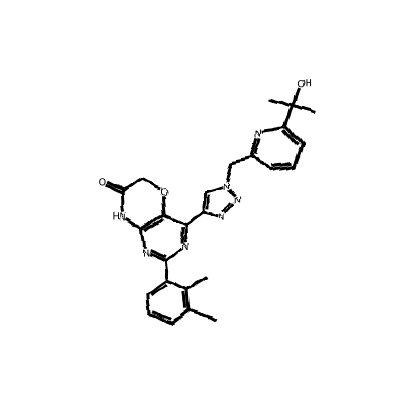 Cc1cccc(-c2nc3c(c(-c4cn(Cc5cccc(C(C)(C)O)n5)nn4)n2)OCC(=O)N3)c1C